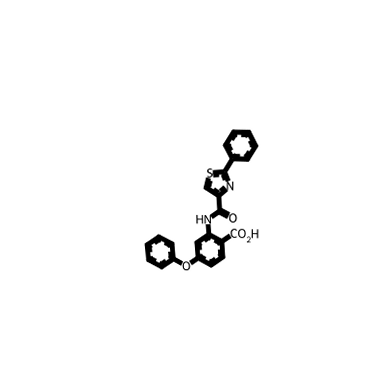 O=C(Nc1cc(Oc2ccccc2)ccc1C(=O)O)c1csc(-c2ccccc2)n1